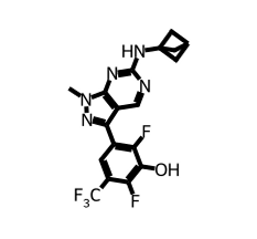 Cn1nc(-c2cc(C(F)(F)F)c(F)c(O)c2F)c2cnc(NC34CC(C3)C4)nc21